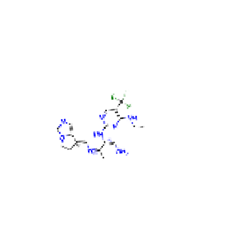 CCNc1nc(NC(=C/N)/C(C)=N\C[C@H]2CCn3cncc32)ncc1C(F)(F)F